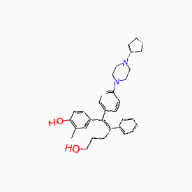 C=C(\C=C/C(=C\C)C(=C(/CCCO)c1ccccc1)/c1ccc(O)c(C)c1)N1CCN(C2CCCC2)CC1